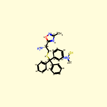 CCNS.Cc1noc([C@@H](N)CSC(c2ccccc2)(c2ccccc2)c2ccccc2)n1